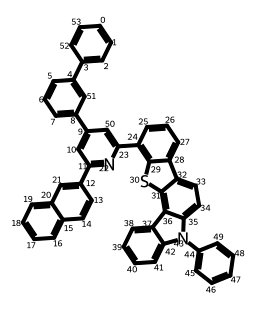 c1ccc(-c2cccc(-c3cc(-c4ccc5ccccc5c4)nc(-c4cccc5c4sc4c5ccc5c4c4ccccc4n5-c4ccccc4)c3)c2)cc1